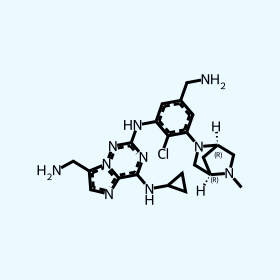 CN1C[C@H]2C[C@@H]1CN2c1cc(CN)cc(Nc2nc(NC3CC3)c3ncc(CN)n3n2)c1Cl